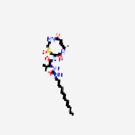 CCCCCCCCCCCCNC(=O)NC(C(=O)N[C@H]1C[S+]([O-])CCNC(=O)/C=C/[C@H](C)NC1=O)C(C)C